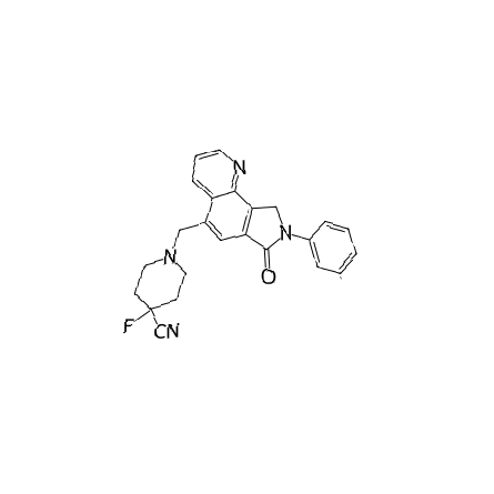 N#CC1(F)CCN(Cc2cc3c(c4ncccc24)CN(c2c[c]ccc2)C3=O)CC1